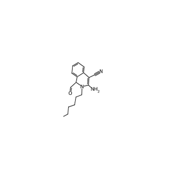 CCCCCCN1C(N)=C(C#N)c2ccccc2C1C=O